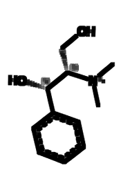 C[N+](C)[C@@H](CO)[C@@H](O)c1ccccc1